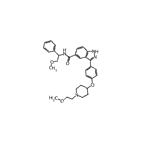 COCCN1CCC(Oc2ccc(-c3n[nH]c4ccc(C(=O)NC(COC)c5ccccc5)cc34)cc2)CC1